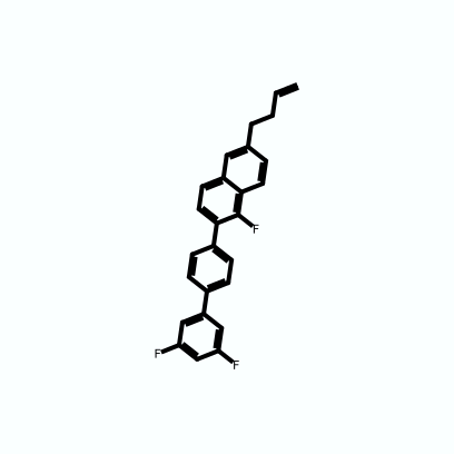 C=CCCc1ccc2c(F)c(-c3ccc(-c4cc(F)cc(F)c4)cc3)ccc2c1